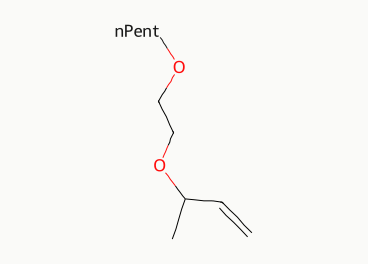 C=CC(C)OCCOCCCCC